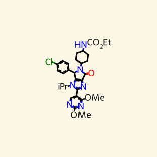 CCOC(=O)NC1CCC(N2C(=O)c3nc(-c4cnc(OC)nc4OC)n(C(C)C)c3C2c2ccc(Cl)cc2)CC1